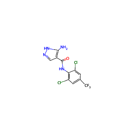 Nc1[nH]ncc1C(=O)Nc1c(Cl)cc(C(F)(F)F)cc1Cl